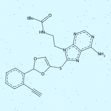 C#Cc1ccccc1C1OC=C(Sc2nc3c(N)ncnc3n2CCNC(=O)C(C)(C)C)O1